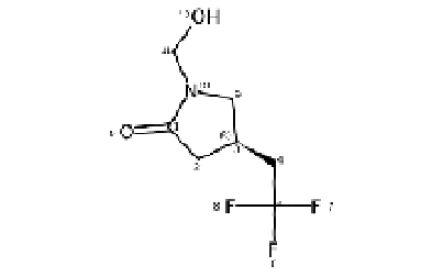 O=C1C[C@H](CC(F)(F)F)CN1CO